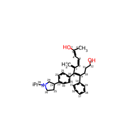 C=C(/C=C\C=C(/C)O)/C(=C(\CCCO)c1ccccc1)c1ccc(C2CCN(C(C)C)C2)cc1